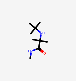 CNC(=O)C(C)(C)NC(C)(C)C